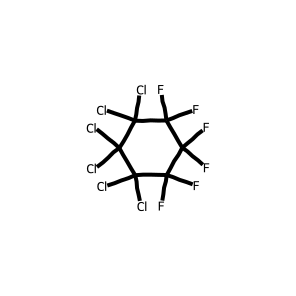 FC1(F)C(F)(F)C(Cl)(Cl)C(Cl)(Cl)C(Cl)(Cl)C1(F)F